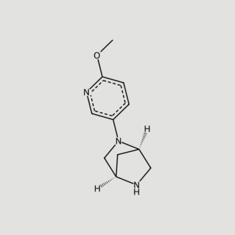 COc1ccc(N2C[C@H]3C[C@@H]2CN3)cn1